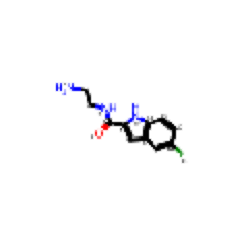 NCCNC(=O)c1cc2cc(F)ccc2[nH]1